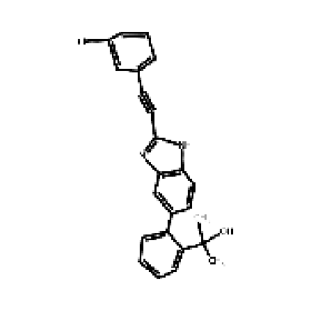 CC(C)(O)c1ccccc1-c1ccc2[nH]c(C#Cc3cccc(Cl)c3)nc2c1